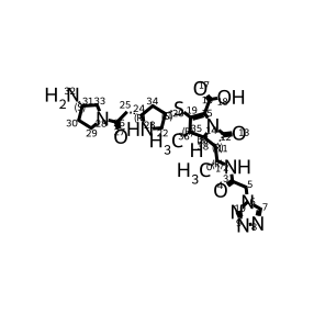 C[C@@H](NC(=O)Cn1cnnn1)[C@H]1C(=O)N2C(C(=O)O)=C(S[C@@H]3CN[C@H](CC(=O)N4CC[C@H](N)C4)C3)[C@H](C)[C@H]12